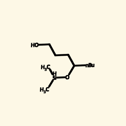 CCCCC(CCCO)O[SiH](C)C